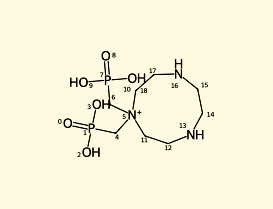 O=P(O)(O)C[N+]1(CP(=O)(O)O)CCNCCNCC1